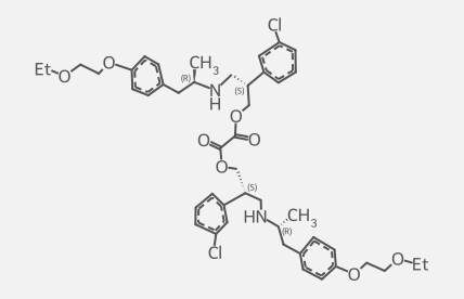 CCOCCOc1ccc(C[C@@H](C)NC[C@@H](COC(=O)C(=O)OC[C@H](CN[C@H](C)Cc2ccc(OCCOCC)cc2)c2cccc(Cl)c2)c2cccc(Cl)c2)cc1